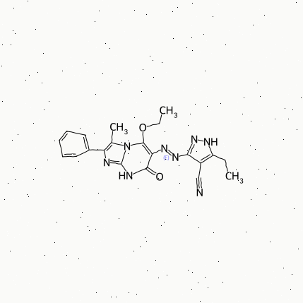 CCOc1c(/N=N/c2n[nH]c(CC)c2C#N)c(=O)[nH]c2nc(-c3ccccc3)c(C)n12